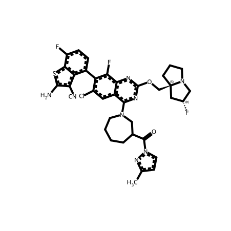 Cc1ccn(C(=O)C2CCCCN(c3nc(OC[C@@]45CCCN4C[C@H](F)C5)nc4c(F)c(-c5ccc(F)c6sc(N)c(C#N)c56)c(Cl)cc34)C2)n1